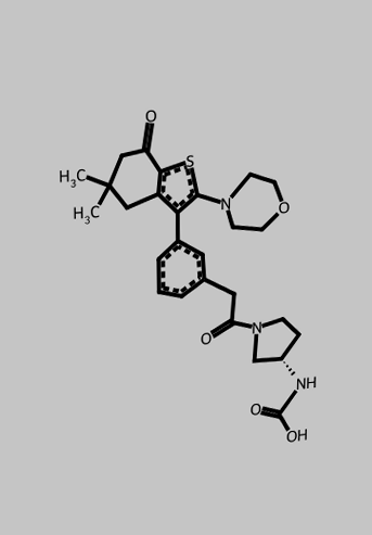 CC1(C)CC(=O)c2sc(N3CCOCC3)c(-c3cccc(CC(=O)N4CC[C@H](NC(=O)O)C4)c3)c2C1